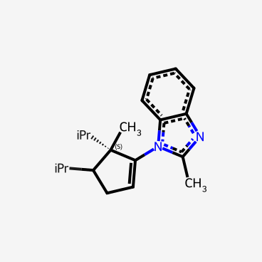 Cc1nc2ccccc2n1C1=CCC(C(C)C)[C@]1(C)C(C)C